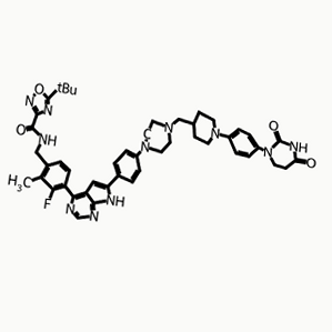 Cc1c(CNC(=O)c2noc(C(C)(C)C)n2)ccc(-c2ncnc3[nH]c(-c4ccc(N5CCN(CC6CCN(c7ccc(N8CCC(=O)NC8=O)cc7)CC6)CC5)cc4)cc23)c1F